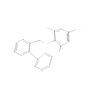 O=C(O)c1cc(I)c(OCc2ccccc2-c2ccccc2)c(I)c1